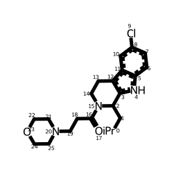 CC(C)CC1c2[nH]c3ccc(Cl)cc3c2CCN1C(=O)CCN1CCOCC1